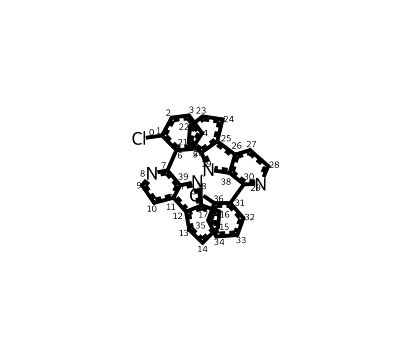 Clc1ccccc1-c1nccc2c3ccccc3n(-n3c4ccccc4c4ccnc(-c5ccccc5Cl)c43)c12